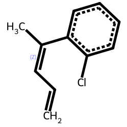 C=C/C=C(/C)c1ccccc1Cl